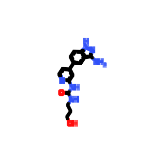 Nc1n[nH]c2ccc(-c3ccnc(NC(=O)NCCCO)c3)cc12